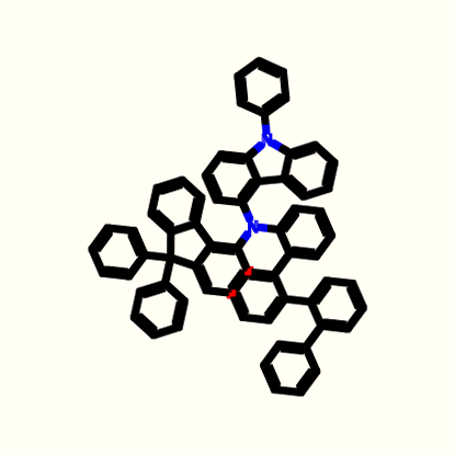 c1ccc(-c2ccccc2-c2ccccc2-c2ccccc2N(c2cccc3c2-c2ccccc2C3(c2ccccc2)c2ccccc2)c2cccc3c2c2ccccc2n3-c2ccccc2)cc1